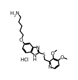 COc1ccnc(CSc2nc3cc(OCCCCCN)ccc3[nH]2)c1OC.Cl